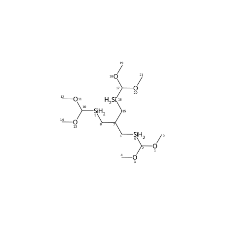 COC(OC)[SiH2]CC(C[SiH2]C(OC)OC)C[SiH2]C(OC)OC